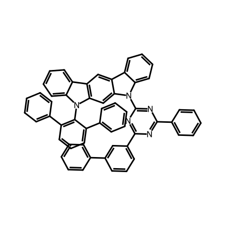 c1ccc(-c2cccc(-c3nc(-c4ccccc4)nc(-n4c5ccccc5c5cc6c7ccccc7n(-c7c(-c8ccccc8)cccc7-c7ccccc7)c6cc54)n3)c2)cc1